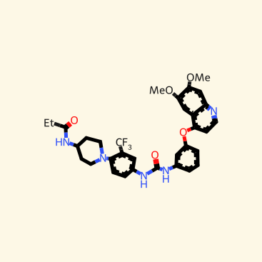 CCC(=O)NC1CCN(c2ccc(NC(=O)Nc3cccc(Oc4ccnc5cc(OC)c(OC)cc45)c3)cc2C(F)(F)F)CC1